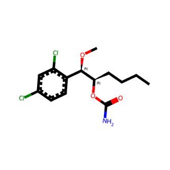 CCCC[C@@H](OC(N)=O)[C@H](OC)c1ccc(Cl)cc1Cl